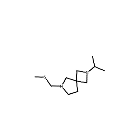 CSCN1CCC2(C1)CN(C(C)C)C2